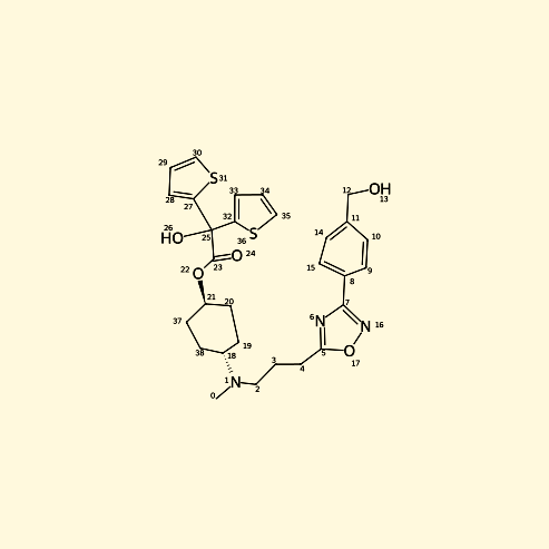 CN(CCCc1nc(-c2ccc(CO)cc2)no1)[C@H]1CC[C@H](OC(=O)C(O)(c2cccs2)c2cccs2)CC1